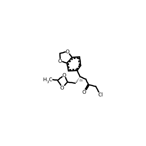 CC1OC(C[C@@H](CC(=O)CCl)c2ccc3c(c2)OCO3)O1